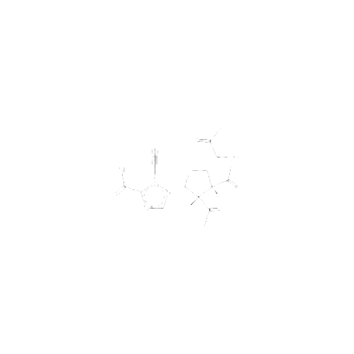 C#Cc1c(C(N)=O)ncn1[C@@H]1O[C@H](C(O)C(C)=O)[C@](O)(C(C)=O)[C@]1(O)C(C)=O